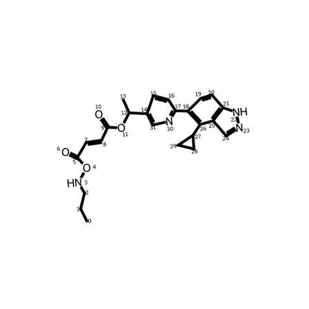 CCCNOC(=O)/C=C/C(=O)OC(C)c1ccc(-c2ccc3[nH]ncc3c2C2CC2)nc1